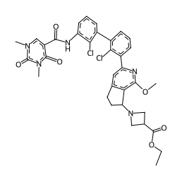 CCOC(=O)C1CN(C2CCc3cc(-c4cccc(-c5cccc(NC(=O)c6cn(C)c(=O)n(C)c6=O)c5Cl)c4Cl)nc(OC)c32)C1